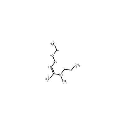 CCCN(C)/C(C)=N\COCC